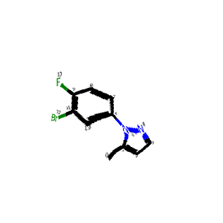 Cc1ccnn1-c1ccc(F)c(Br)c1